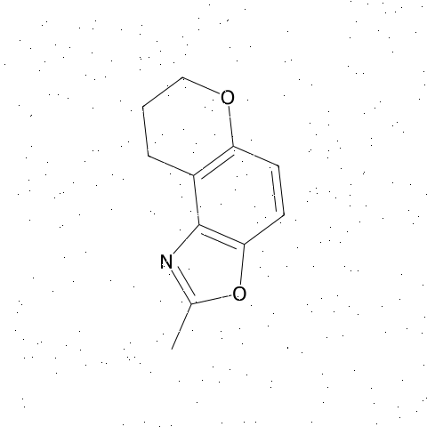 Cc1nc2c3c(ccc2o1)OCCC3